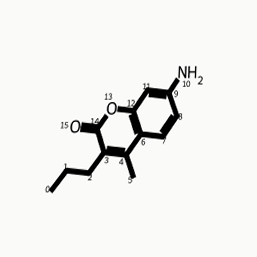 CCCc1c(C)c2ccc(N)cc2oc1=O